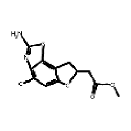 COC(=O)CC1Cc2c(cc(Cl)c3nc(N)sc23)O1